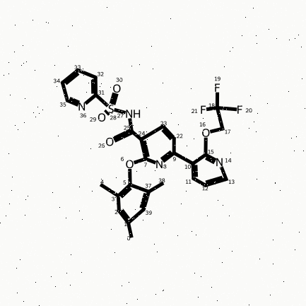 Cc1cc(C)c(Oc2nc(-c3cccnc3OCC(F)(F)F)ccc2C(=O)NS(=O)(=O)c2ccccn2)c(C)c1